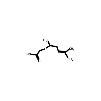 CC(C)=CCC(C)CCC(=O)O